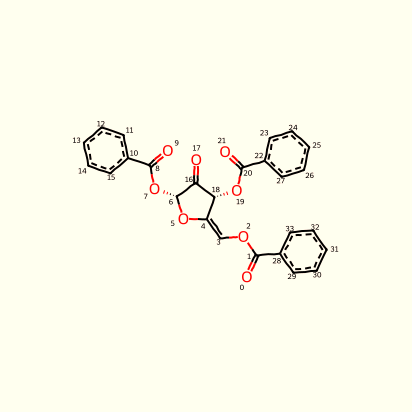 O=C(O/C=C1/O[C@H](OC(=O)c2ccccc2)C(=O)[C@@H]1OC(=O)c1ccccc1)c1ccccc1